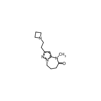 CN1C(=O)CCCn2nc(CCN3CCC3)cc21